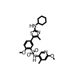 COc1cc(C)c(NS(=O)(=O)c2cc(-c3sc(NC4CCCCC4)nc3C)ccc2OC)cn1